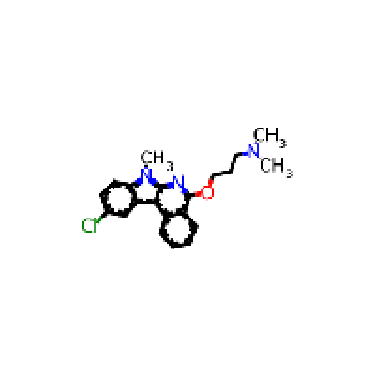 CN(C)CCCOc1nc2c(c3ccccc13)c1cc(Cl)ccc1n2C